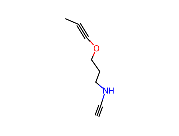 C#CNCCCOC#CC